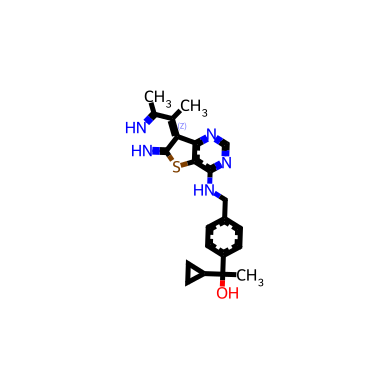 CC(=N)/C(C)=C1\C(=N)Sc2c(NCc3ccc(C(C)(O)C4CC4)cc3)ncnc21